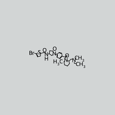 CCN(C)CC1CCCCN1C(=O)c1ccc(N2CC(NC(=O)C3CC=C(Br)S3)CC2=O)cc1C